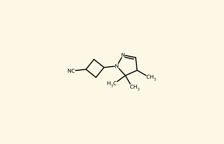 CC1C=NN(C2CC(C#N)C2)C1(C)C